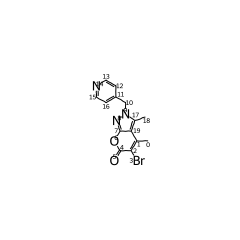 Cc1c(Br)c(=O)oc2nn(Cc3ccncc3)c(C)c12